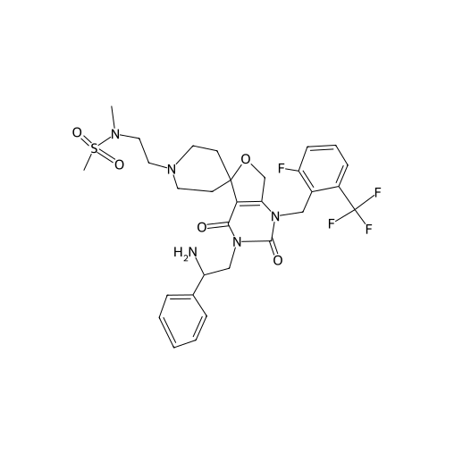 CN(CCN1CCC2(CC1)OCc1c2c(=O)n(CC(N)c2ccccc2)c(=O)n1Cc1c(F)cccc1C(F)(F)F)S(C)(=O)=O